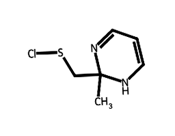 CC1(CSCl)N=CC=CN1